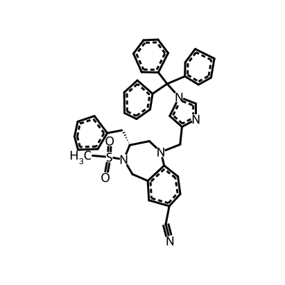 CS(=O)(=O)N1Cc2cc(C#N)ccc2N(Cc2cn(C(c3ccccc3)(c3ccccc3)c3ccccc3)cn2)C[C@H]1Cc1ccccc1